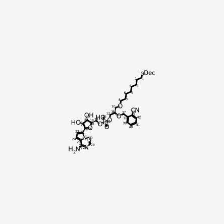 CCCCCCCCCCCCCCCCCCOC[C@H](COP(=O)(O)OC[C@H]1O[C@@H](c2ccc3c(N)ncnn23)[C@H](O)[C@@H]1O)OCc1ccccc1C#N